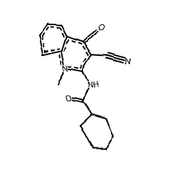 Cn1c(NC(=O)C2CCCCC2)c(C#N)c(=O)c2ccccc21